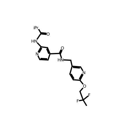 CC(C)C(=O)Nc1cc(C(=O)NCc2ccc(OCC(C)(F)F)nc2)ccn1